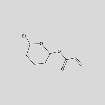 C=CC(=O)OC1CCCC(CC)O1